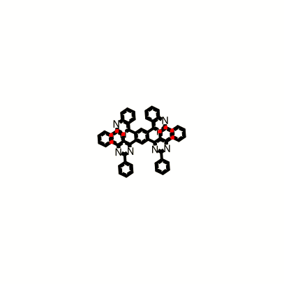 c1ccc(-c2nc(-c3cc(-c4nc(-c5ccccc5)nc5ccccc45)c(-c4nc(-c5ccccc5)nc5ccccc45)cc3-c3nc(-c4ccccc4)nc4ccccc34)c3ccccc3n2)cc1